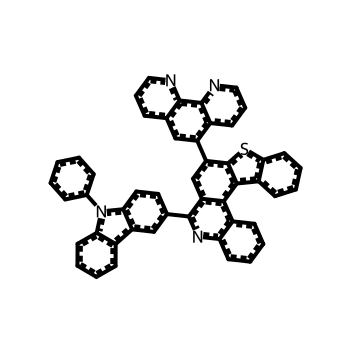 c1ccc(-n2c3ccccc3c3cc(-c4nc5ccccc5c5c4cc(-c4cc6cccnc6c6ncccc46)c4sc6ccccc6c45)ccc32)cc1